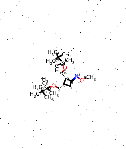 CON=C1C[C@H](CO[Si](C)(C)C(C)(C)C)[C@@H]1CO[Si](C)(C)C(C)(C)C